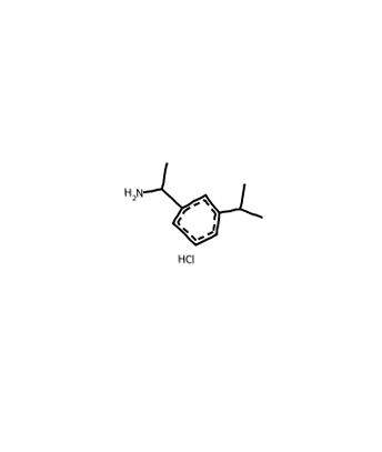 CC(C)c1cccc(C(C)N)c1.Cl